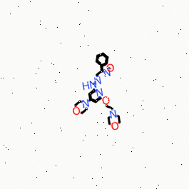 C(=N\Nc1cc(N2CCOCC2)cc(OCCN2CCOCC2)n1)/c1noc2ccccc12